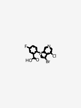 O=C(O)c1cc(F)ccc1-n1cc(Br)c2c(Cl)cncc21